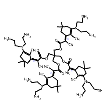 CC1(C)CC(N(CCN)CCN)=C(C#N)/C(=C(/C#N)C(=O)OCC(COC(=O)/C(C#N)=C2\CC(C)(C)CC(N(CCN)CCN)=C2C#N)(COC(=O)/C(C#N)=C2\CC(C)(C)CC(N(CCN)CCN)=C2C#N)COC(=O)/C(C#N)=C2\CC(C)(C)CC(N(CCN)CCN)=C2C#N)C1